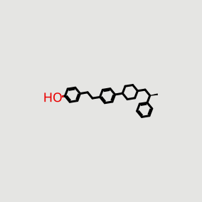 C[C@H](CC1CCC(c2ccc(CCc3ccc(O)cc3)cc2)CC1)c1ccccc1